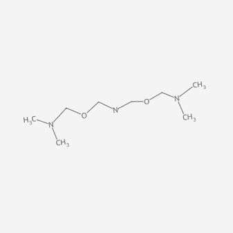 CN(C)COC[N]COCN(C)C